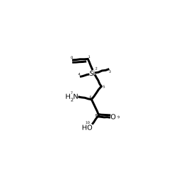 C=C[Si](C)(C)CC(N)C(=O)O